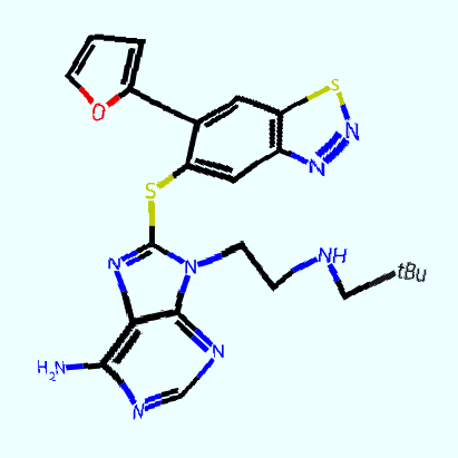 CC(C)(C)CNCCn1c(Sc2cc3nnsc3cc2-c2ccco2)nc2c(N)ncnc21